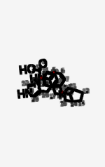 O=C(O)Nc1cccc(CC2C3CCC2CN(Cc2ccccc2)C3)c1Cc1c[nH]cn1